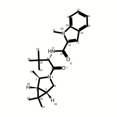 C[C@@H]1[C@@H]2[C@H](CN1C(=O)[C@@H](NC(=O)c1cc3ccccc3n1C)C(C)(C)C)C2(C)C